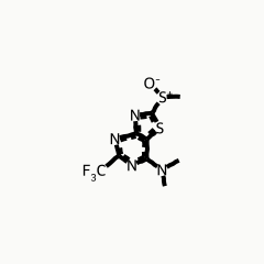 CN(C)c1nc(C(F)(F)F)nc2nc([S+](C)[O-])sc12